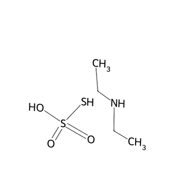 CCNCC.O=S(=O)(O)S